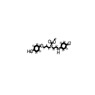 COC(=O)N(CCCOc1ccc(O)cc1)CCNc1ccc(Cl)cc1